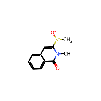 Cn1c([S+](C)[O-])cc2ccccc2c1=O